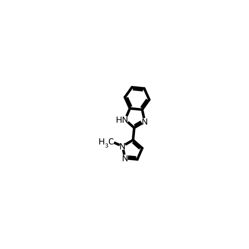 Cn1nccc1-c1nc2ccccc2[nH]1